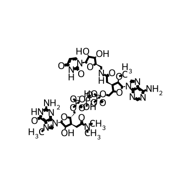 CO[C@@H]1[C@H](CC(=O)NC[C@H]2O[C@@H](n3ccc(=O)[nH]c3=O)[C@H](O)[C@@H]2O)C(COP(=O)(O)OP(=O)(O)OP(=O)([O-])OC[C@H]2O[C@@H](n3c[n+](C)c4c(=O)[nH]c(N)nc43)[C@H](O)[C@@H]2CC(=O)N(C)C)O[C@H]1n1cnc2c(N)ncnc21